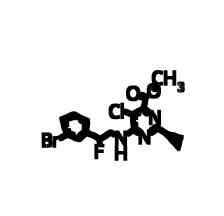 COC(=O)c1nc(C2CC2)nc(NCC(F)c2cccc(Br)c2)c1Cl